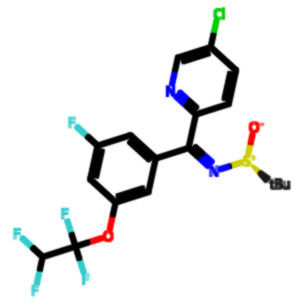 CC(C)(C)[S@+]([O-])/N=C(/c1cc(F)cc(OC(F)(F)C(F)F)c1)c1ccc(Cl)cn1